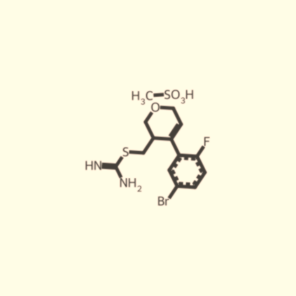 CS(=O)(=O)O.N=C(N)SCC1COCC=C1c1cc(Br)ccc1F